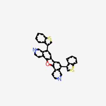 c1ccc2c(-c3cc4c5cc(-c6csc7ccccc67)c6cnccc6c5oc4c4ccncc34)csc2c1